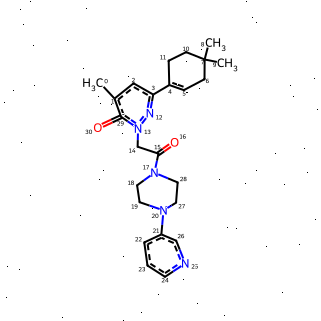 Cc1cc(C2=CCC(C)(C)CC2)nn(CC(=O)N2CCN(c3cccnc3)CC2)c1=O